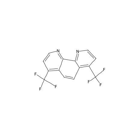 FC(F)(F)c1ccnc2c1ccc1c(C(F)(F)F)ccnc12